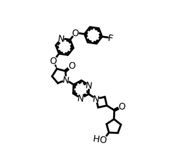 O=C(C1CCC(O)C1)C1CN(c2ncc(N3CC[C@@H](Oc4ccc(Oc5ccc(F)cc5)nc4)C3=O)cn2)C1